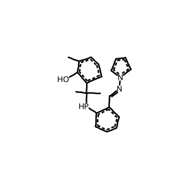 Cc1cccc(C(C)(C)Pc2ccccc2/C=N/n2cccc2)c1O